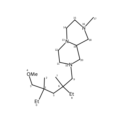 CCC(C)(COC)CC(C)(CC)CN1CCN2CCN(C)CC2C1